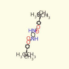 C[Si](C)(C)C#Cc1ccc(OCC(=O)N[C@H]2CC[C@H](NC(=O)COc3ccc(C#C[Si](C)(C)C)cc3)CC2)cc1